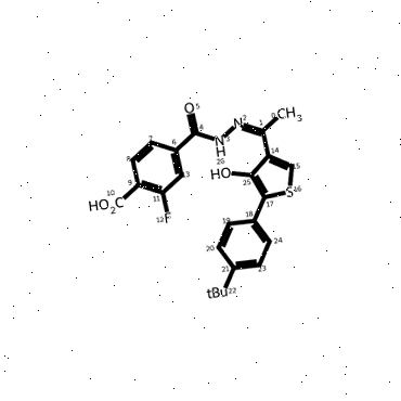 C/C(=N/NC(=O)c1ccc(C(=O)O)c(F)c1)c1csc(-c2ccc(C(C)(C)C)cc2)c1O